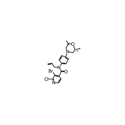 C=CCN(C(=O)c1ccnc(Cl)c1Br)c1ccc(N2C[C@@H](C)O[C@@H](C)C2)cc1